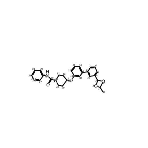 CC1OC(c2cccc(-c3cccc(OC4CCN(C(=O)Nc5cccnc5)CC4)c3)c2)O1